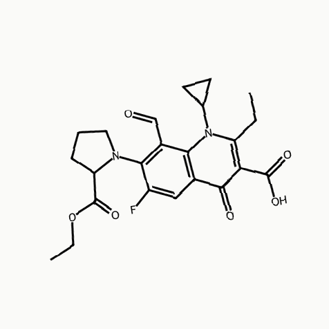 CCOC(=O)C1CCCN1c1c(F)cc2c(=O)c(C(=O)O)c(CC)n(C3CC3)c2c1C=O